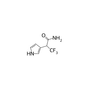 NC(=O)C(c1cc[nH]c1)C(F)(F)F